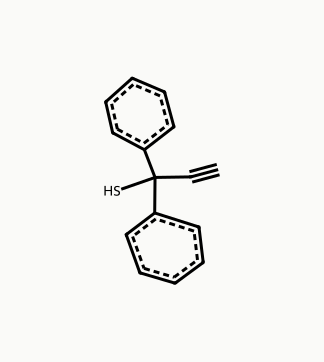 C#CC(S)(c1ccccc1)c1ccccc1